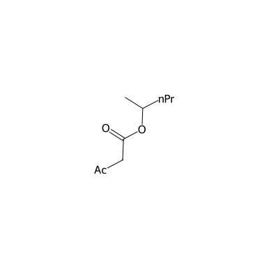 CCCC(C)OC(=O)CC(C)=O